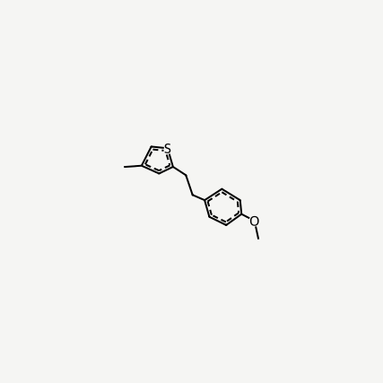 COc1ccc(CCc2cc(C)cs2)cc1